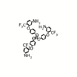 Nc1ccc(C(F)(F)F)c(Oc2ccc(OB(Oc3ccc(Oc4cc(N)ccc4C(F)(F)F)cc3)Oc3ccc(Oc4cc(N)ccc4C(F)(F)F)cc3)cc2)c1